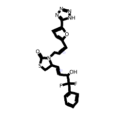 O=C1SCC(/C=C/C(O)C(F)(F)c2ccccc2)N1C/C=C\c1ccc(-c2nnn[nH]2)o1